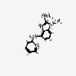 Cn1c(N)nc2c(Nc3ccccn3)cccc21